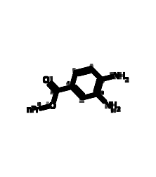 CCCOC(=O)c1ccc(N)c(N)c1